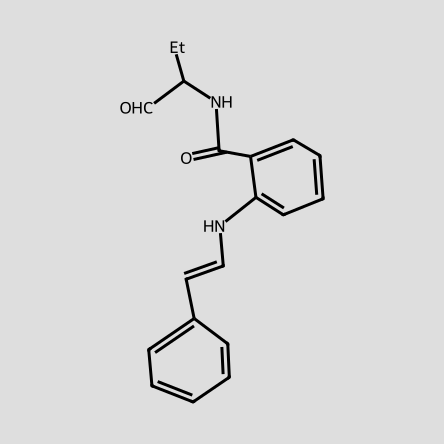 CCC(C=O)NC(=O)c1ccccc1N/C=C/c1ccccc1